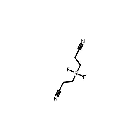 N#CCC[Si](F)(F)CCC#N